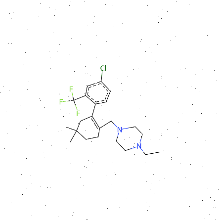 CCN1CCN(CC2=C(c3ccc(Cl)cc3C(F)(F)F)CC(C)(C)CC2)CC1